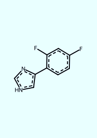 Fc1ccc(-c2c[nH]cn2)c(F)c1